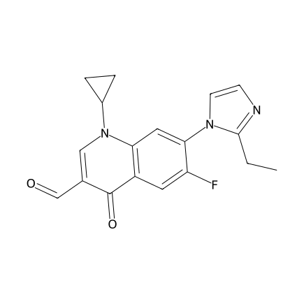 CCc1nccn1-c1cc2c(cc1F)c(=O)c(C=O)cn2C1CC1